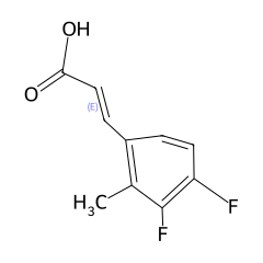 Cc1c(/C=C/C(=O)O)ccc(F)c1F